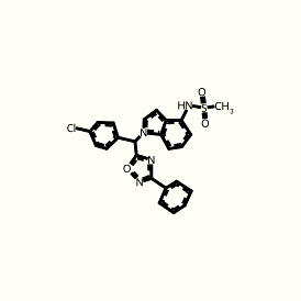 CS(=O)(=O)Nc1cccc2c1ccn2C(c1ccc(Cl)cc1)c1nc(-c2ccccc2)no1